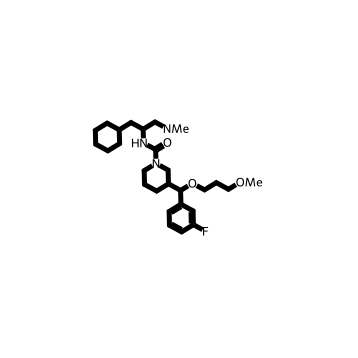 CNCC(CC1CCCCC1)NC(=O)N1CCCC(C(OCCCOC)c2cccc(F)c2)C1